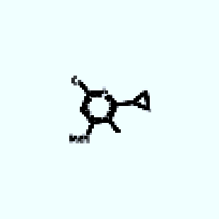 CNc1cc(Cl)nc(C2CC2)c1I